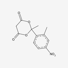 Cc1cc([N+](=O)[O-])ccc1C1(C)OC(=O)CC(=O)O1